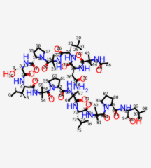 CC[C@H](C)[C@H](NC(=O)[C@H](CO)NC(=O)[C@@H]1CCCN1C(=O)C(C)(C)NC(=O)[C@H](CC(C)C)NC(=O)[C@H](CC(N)=O)NC(=O)C(C)(C)NC(C)=O)C(=O)NC(C)(C)C(=O)N1CCC[C@H]1C(=O)NC(C)(C)C(=O)N[C@@H](CC(C)C)C(=O)NC(C)(C)C(=O)N1CCC[C@H]1C(=O)N[C@H](CO)CC(C)C